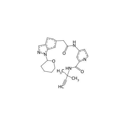 C#CC(C)(C)NC(=O)c1cc(NC(=O)Cc2ccc3cnn(C4CCCCO4)c3c2)ccn1